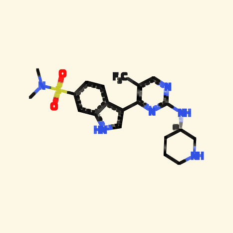 CN(C)S(=O)(=O)c1ccc2c(-c3nc(N[C@H]4CCCNC4)ncc3C(F)(F)F)c[nH]c2c1